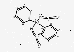 O=C=N[N+](N=C=O)(c1ccccc1)c1ccccc1